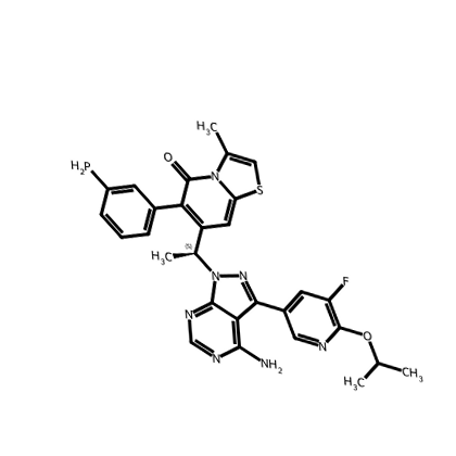 Cc1csc2cc([C@H](C)n3nc(-c4cnc(OC(C)C)c(F)c4)c4c(N)ncnc43)c(-c3cccc(P)c3)c(=O)n12